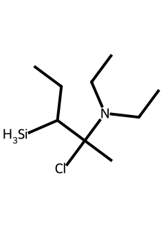 CCC([SiH3])C(C)(Cl)N(CC)CC